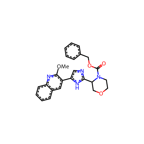 COc1nc2ccccc2cc1-c1cnc(C2COCCN2C(=O)OCc2ccccc2)[nH]1